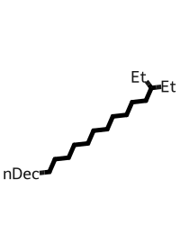 [CH2]CC(CC)CCCCCCCCCCCCCCCCCCCCC